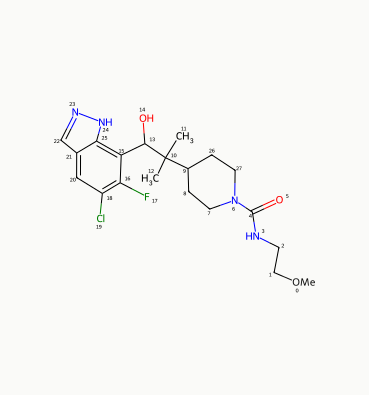 COCCNC(=O)N1CCC(C(C)(C)C(O)c2c(F)c(Cl)cc3cn[nH]c23)CC1